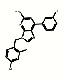 CNc1nc(-c2cccc(C#N)c2)c2ncn(Cc3ccc([N+](=O)[O-])cc3F)c2n1